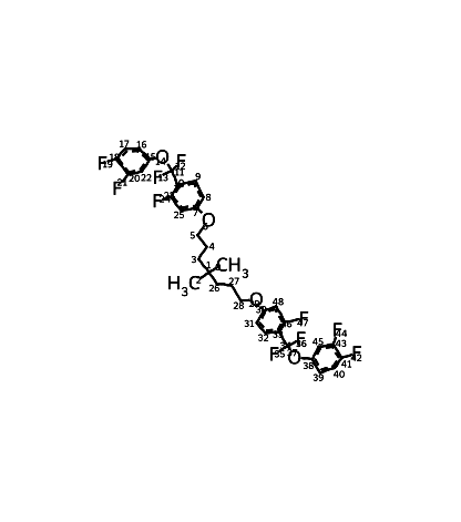 CC(C)(CCCOc1ccc(C(F)(F)Oc2ccc(F)c(F)c2)c(F)c1)CCCOc1ccc(C(F)(F)Oc2ccc(F)c(F)c2)c(F)c1